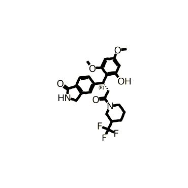 COc1cc(O)c([C@H](CC(=O)N2CCCC(C(F)(F)F)C2)c2ccc3c(c2)CNC3=O)c(OC)c1